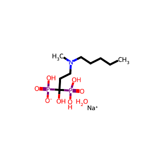 CCCCCN(C)CCC(O)(P(=O)([O-])O)P(=O)(O)O.O.[Na+]